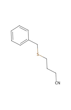 N#CCCCSCc1ccccc1